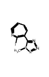 Cn1nnnc1C1=C(I)N=C=CC=C1